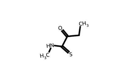 CCC(=O)C(=S)NC